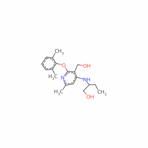 CCC(CO)Nc1cc(C)nc(Oc2c(C)cccc2C)c1CO